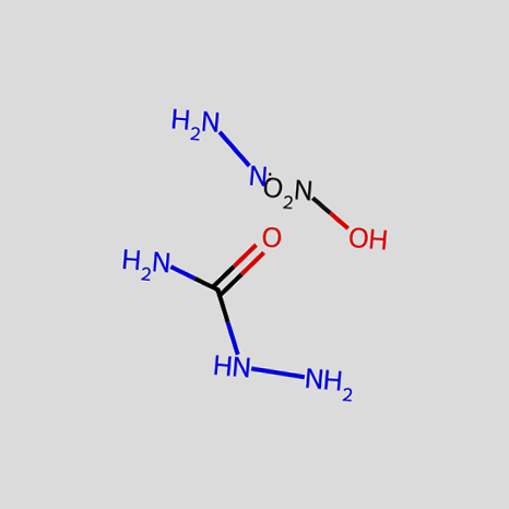 NNC(N)=O.O=[N+]([O-])O.[N]N